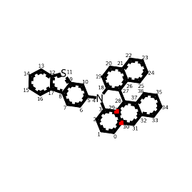 c1ccc(N(c2ccc3c(c2)sc2ccccc23)c2ccc3ccccc3c2-c2cccc3ccccc23)cc1